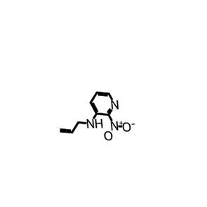 C=CCNc1cccnc1[N+](=O)[O-]